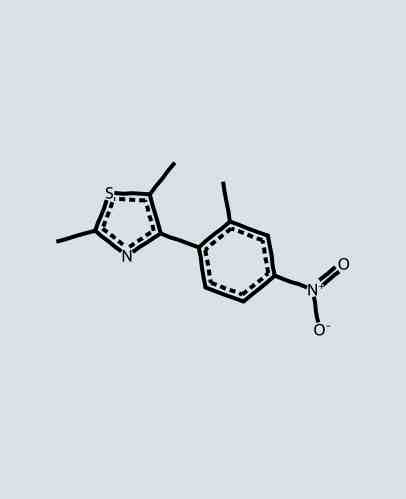 Cc1nc(-c2ccc([N+](=O)[O-])cc2C)c(C)s1